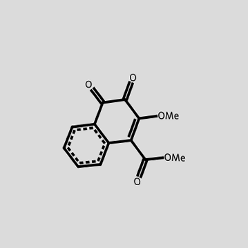 COC(=O)C1=C(OC)C(=O)C(=O)c2ccccc21